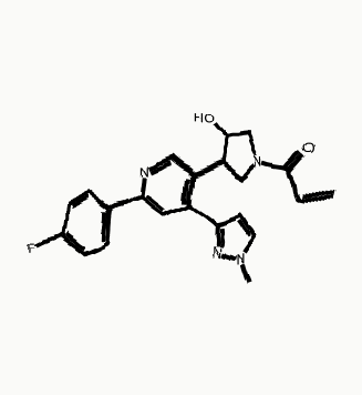 C=CC(=O)N1CC(O)C(c2cnc(-c3ccc(F)cc3)cc2-c2ccn(C)n2)C1